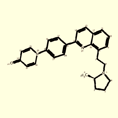 C[C@@H]1CCCN1CCc1cccc2ccc(-c3ccc(-n4ccc(=O)cc4)cc3)nc12